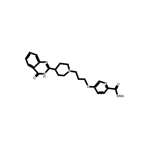 CNC(=O)c1ccc(OCCCN2CCC(c3nc4ccccc4c(=O)[nH]3)CC2)cn1